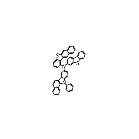 c1ccc(-n2c3ccc(N(c4ccc5c(c4)sc4ccccc45)c4cccc5sc6cc7ccccc7cc6c45)cc3c3ccc4ccccc4c32)cc1